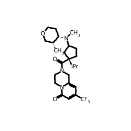 CC(C)[C@]1(C(=O)N2CCn3c(cc(C(F)(F)F)cc3=O)C2)CCC(N(C)[C@H]2CCOC[C@H]2C)C1